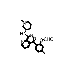 Cc1ccc(-c2nnc(N[C@@H]3CCCN(C)C3)c3ncccc23)c(OC=O)c1